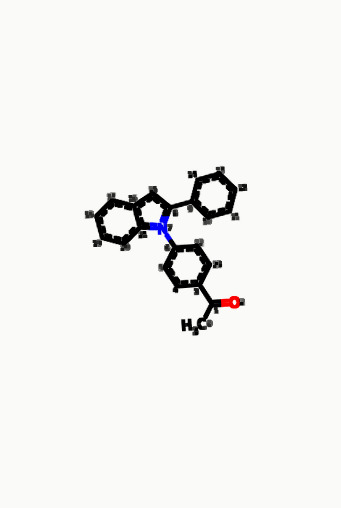 CC(=O)c1ccc(-n2c(-c3ccccc3)cc3ccccc32)cc1